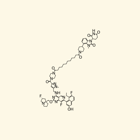 CCc1c(F)ccc2cc(O)cc(-c3ncc4c(NCc5cc(C(=O)N6CCN(C(=O)CCCCCCCCCCC(=O)N7CCC(c8cccc9c8n(C)c(=O)n9C8CCC(=O)NC8=O)CC7)CC6)nn5C)nc(OC[C@@]56CCCN5C[C@H](F)C6)nc4c3F)c12